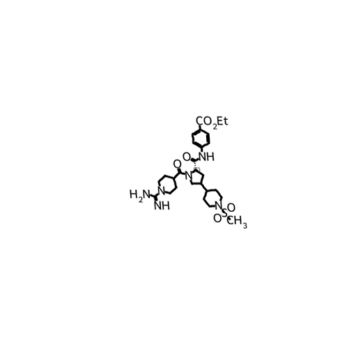 CCOC(=O)c1ccc(NC(=O)[C@@H]2CC(C3CCN(S(C)(=O)=O)CC3)CN2C(=O)C2CCN(C(=N)N)CC2)cc1